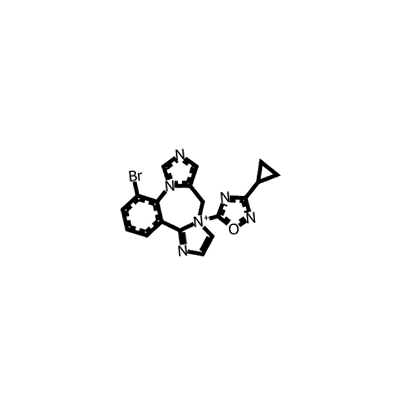 Brc1cccc2c1-n1cncc1C[N+]1(c3nc(C4CC4)no3)C=CN=C21